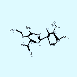 CCOc1c(O)nc(-c2ccc(Cl)c(OC)c2F)nc1C(=O)O